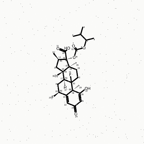 CC(C)C(C)OC(=O)O[C@@]1(C(=O)O)[C@H](C)C[C@H]2[C@@H]3C[C@H](F)C4=CC(=O)C=C(O)[C@]4(C)C3(F)CC[C@@]21C